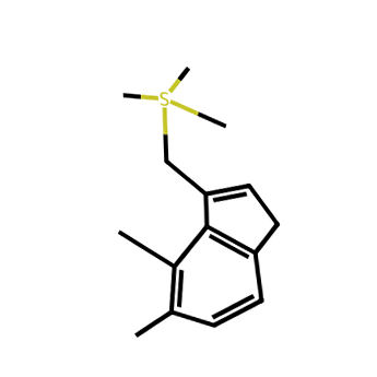 Cc1ccc2c(c1C)C(CS(C)(C)C)=CC2